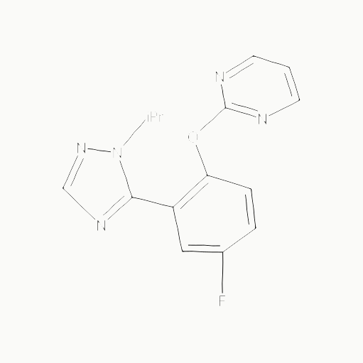 CC(C)n1ncnc1-c1cc(F)ccc1Oc1ncccn1